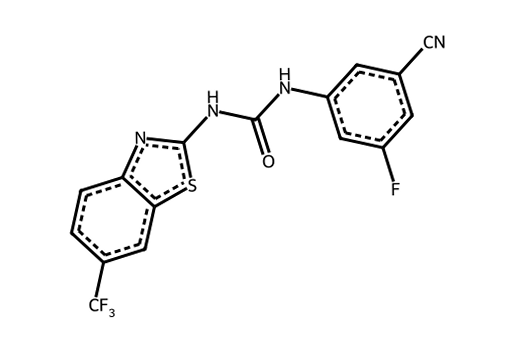 N#Cc1cc(F)cc(NC(=O)Nc2nc3ccc(C(F)(F)F)cc3s2)c1